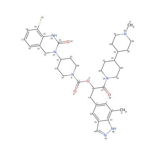 Cc1cc(CC(OC(=O)N2CCC(N3Cc4cccc(F)c4NC3=O)CC2)C(=O)N2CCC(C3CCN(C)CC3)CC2)cc2cn[nH]c12